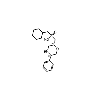 O=P(O)(CC1CCCCC1)C[C@H]1CN[C@H](c2ccccc2)CO1